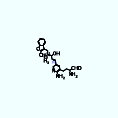 Cc1oc2ccccc2c1CN(C)C(O)/C=C/c1cnc(N)c(CCC(N)C=O)c1